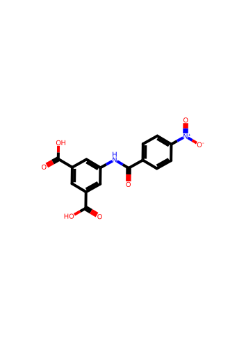 O=C(O)c1cc(NC(=O)c2ccc([N+](=O)[O-])cc2)cc(C(=O)O)c1